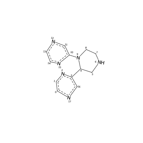 c1cnc(C2CNCCN2c2cnccn2)cn1